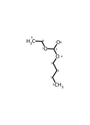 CCCCOC([O])OCC